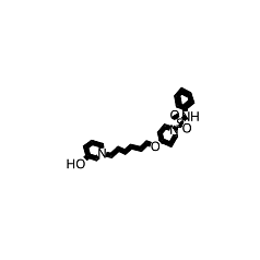 O=S(=O)(Nc1ccccc1)N1CCC(OCCCCCCN2CCCC(O)C2)CC1